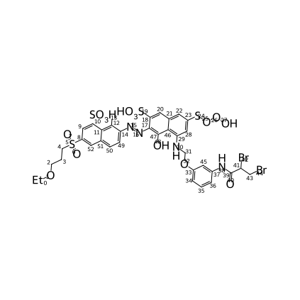 CCOCCCS(=O)(=O)c1ccc2c(S(=O)(=O)O)c(N=Nc3c(S(=O)(=O)O)cc4cc(SOOO)cc(NCOc5cccc(NC(=O)C(Br)CBr)c5)c4c3O)ccc2c1